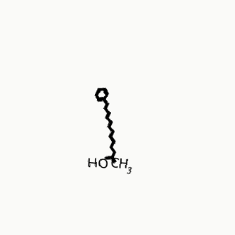 CC(CO)CCCCCCCCCCCc1ccccc1